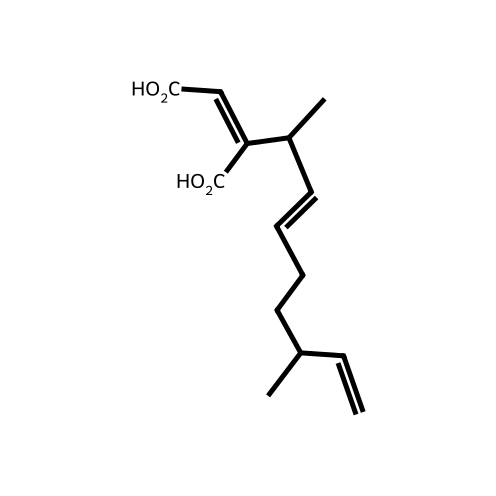 C=CC(C)CC/C=C/C(C)/C(=C/C(=O)O)C(=O)O